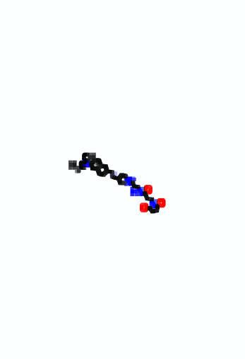 CN(C)c1ccc2cc(/C=C/c3cc[n+](CCCNC(=O)CCN4C(=O)C=CC4=O)cc3)ccc2c1